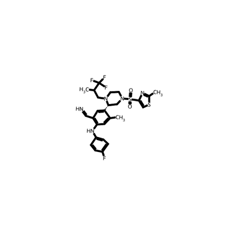 Cc1nc(S(=O)(=O)N2CCN(CC(C)C(F)(F)F)[C@@H](c3cc(C=N)c(Nc4ccc(F)cc4)cc3C)C2)cs1